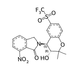 CC1(C)Oc2ccc(S(=O)(=O)C(F)(F)F)cc2[C@H](N2Cc3cccc([N+](=O)[O-])c3C2=O)[C@H]1O